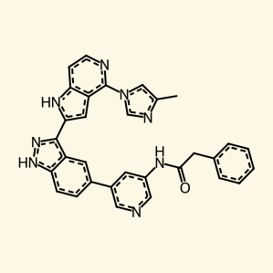 Cc1cn(-c2nccc3[nH]c(-c4n[nH]c5ccc(-c6cncc(NC(=O)Cc7ccccc7)c6)cc45)cc23)cn1